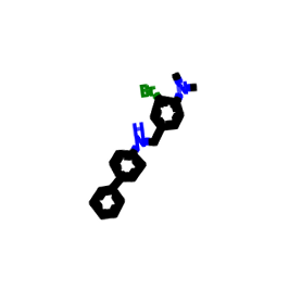 CN(C)c1ccc(CNc2ccc(-c3ccccc3)cc2)cc1Br